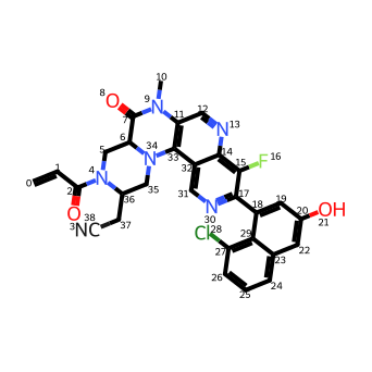 C=CC(=O)N1CC2C(=O)N(C)c3cnc4c(F)c(-c5cc(O)cc6cccc(Cl)c56)ncc4c3N2CC1CC#N